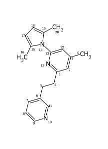 Cc1cc(CCc2cccnc2)nc(-n2c(C)ccc2C)c1